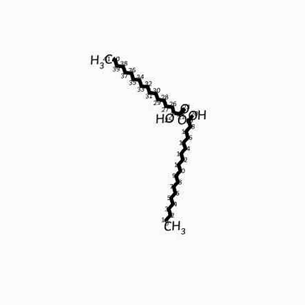 CCCCCCCCCCCCCCCCCCCC(O)OC(=O)C(O)CCCCCCCCCCCCCCCC